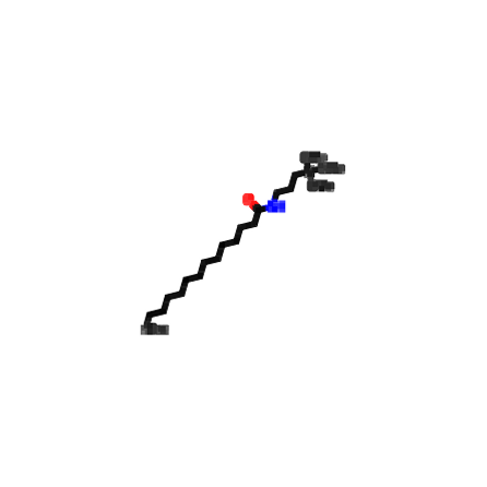 CCCCCCCCCCCCCCCCCCCCCCC(=O)NCCC[Si](OC)(OC)OC